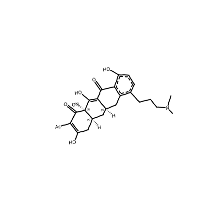 CC(=O)C1=C(O)C[C@@H]2C[C@@H]3Cc4c(CCCN(C)C)ccc(O)c4C(=O)C3=C(O)[C@]2(N=O)C1=O